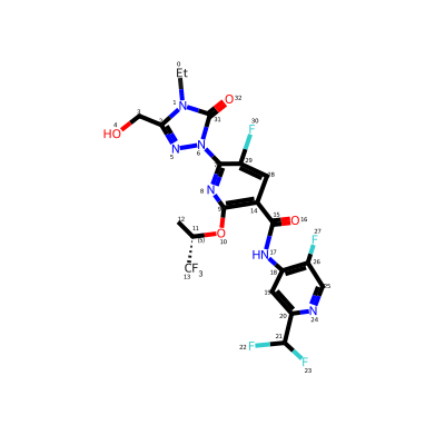 CCn1c(CO)nn(-c2nc(O[C@@H](C)C(F)(F)F)c(C(=O)Nc3cc(C(F)F)ncc3F)cc2F)c1=O